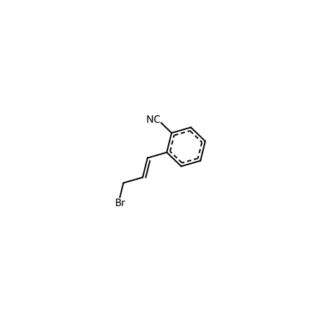 N#Cc1ccccc1/C=C/CBr